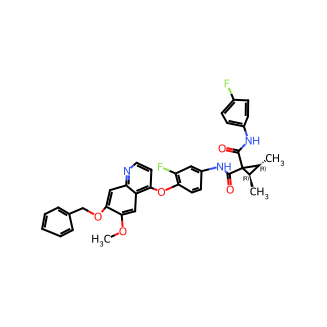 COc1cc2c(Oc3ccc(NC(=O)C4(C(=O)Nc5ccc(F)cc5)[C@H](C)[C@H]4C)cc3F)ccnc2cc1OCc1ccccc1